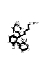 COCCCC[C@@](O)(c1cccc(Cl)c1-c1cccnc1)[C@H]1CNCCO1